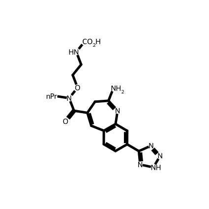 CCCN(OCCNC(=O)O)C(=O)C1=Cc2ccc(-c3nn[nH]n3)cc2N=C(N)C1